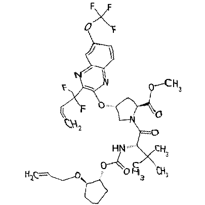 C=CCO[C@@H]1CCC[C@H]1OC(=O)N[C@H](C(=O)N1C[C@H](Oc2nc3ccc(OC(F)(F)F)cc3nc2C(F)(F)C=C)C[C@H]1C(=O)OC)C(C)(C)C